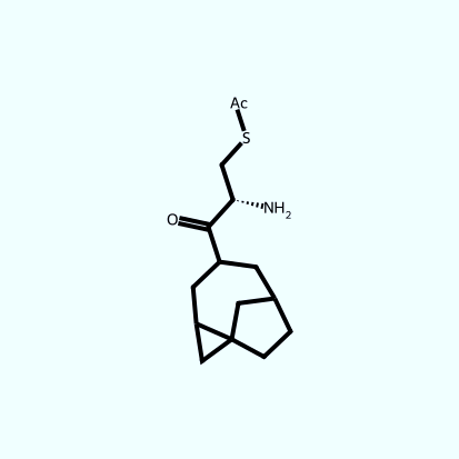 CC(=O)SC[C@H](N)C(=O)C1CC2CCC3(C2)CC3C1